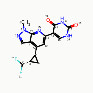 Cn1ncc2c([C@H]3C[C@@H]3C(F)F)cc(-c3c[nH]c(=O)[nH]c3=O)nc21